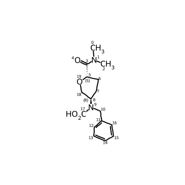 CN(C)C(=O)[C@@H]1CC[C@@H](N(Cc2ccccc2)C(=O)O)CO1